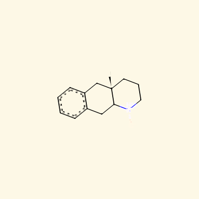 [O-][N@H+]1CCC[C@H]2Cc3ccccc3CC21